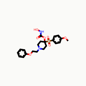 COc1ccc(S(=O)(=O)C2(OC(=O)NO)CCN(CCOc3ccccc3)CC2)cc1